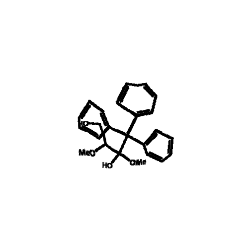 COC(CO)C(O)(OC)C(c1ccccc1)(c1ccccc1)c1ccccc1